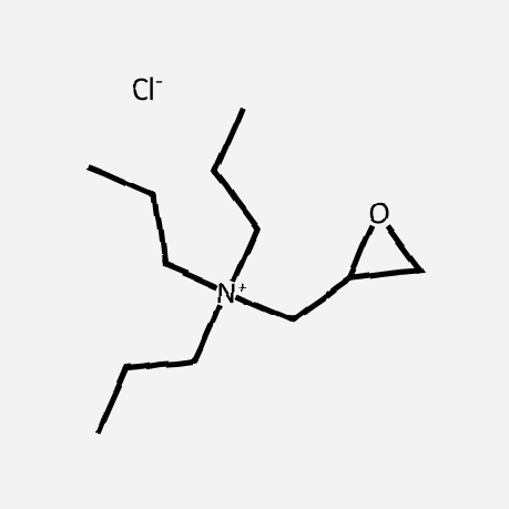 CCC[N+](CCC)(CCC)CC1CO1.[Cl-]